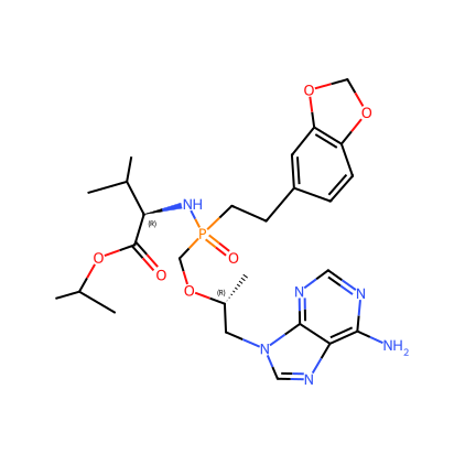 CC(C)OC(=O)[C@H](NP(=O)(CCc1ccc2c(c1)OCO2)CO[C@H](C)Cn1cnc2c(N)ncnc21)C(C)C